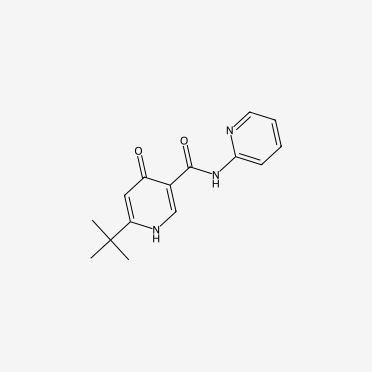 CC(C)(C)c1cc(=O)c(C(=O)Nc2ccccn2)c[nH]1